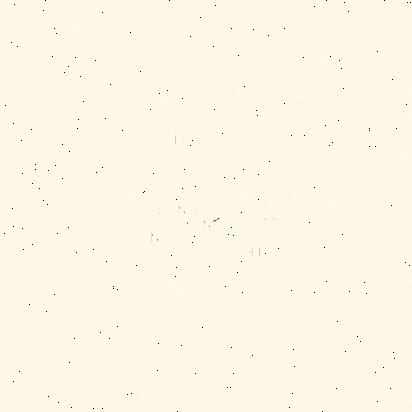 CSCC[C@H](N)C(=O)O.O=C1CNC(=O)N1